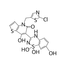 O=c1c(C2=NS(O)(O)c3cc(O)ccc3N2)c(O)c2sccc2n1Cc1cnc(Cl)s1